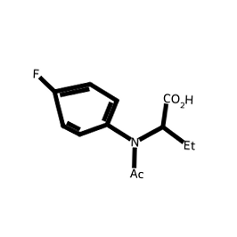 CCC(C(=O)O)N(C(C)=O)c1ccc(F)cc1